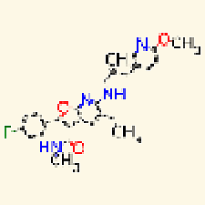 CCc1cc2c(C(=O)NC)c(-c3ccc(F)cc3)oc2nc1NC[C@H](C)Cc1ccc(OC)nc1